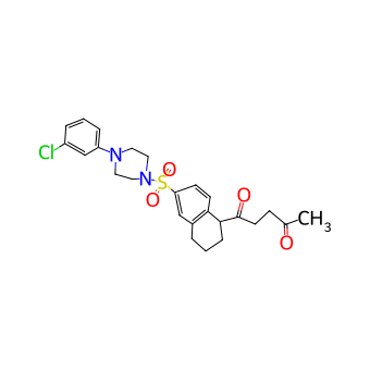 CC(=O)CCC(=O)C1CCCc2cc(S(=O)(=O)N3CCN(c4cccc(Cl)c4)CC3)ccc21